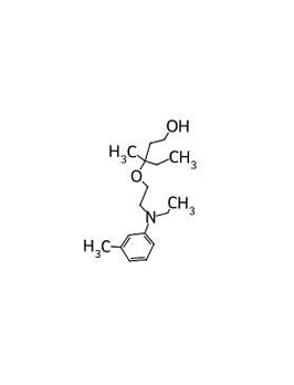 CCN(CCOC(C)(CC)CCO)c1cccc(C)c1